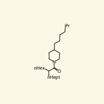 CCCCCCCC(CCCCCC)C(=O)N1CCC(CCCCC(C)C)CC1